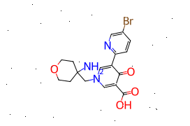 NC1(Cn2cc(C(=O)O)c(=O)c(-c3ccc(Br)cn3)c2)CCOCC1